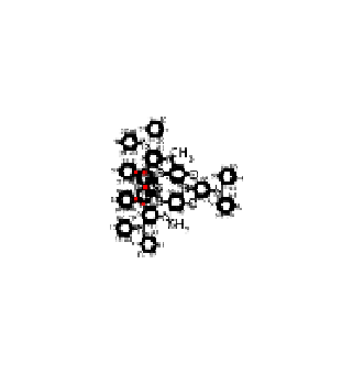 CN1c2cc3c(cc2B2c4sc5ccccc5c4N(c4ccccc4)c4cc(N(c5ccccc5)c5ccccc5)cc1c42)B1c2cc4c(cc2Oc2cc(N(c5ccccc5)c5ccccc5)cc(c21)O3)N(C)c1cc(N(c2ccccc2)c2ccccc2)cc2c1B4c1sc3ccccc3c1N2c1ccccc1